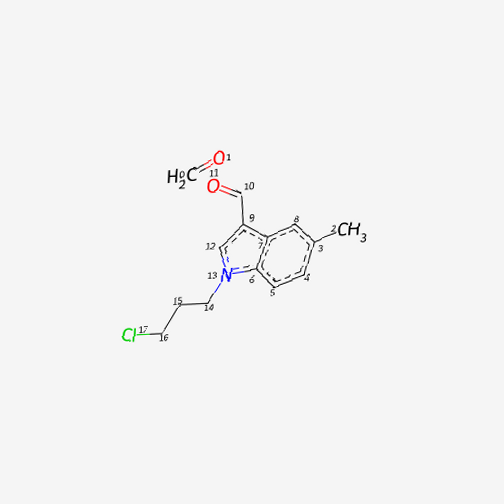 C=O.Cc1ccc2c(c1)c(C=O)cn2CCCCl